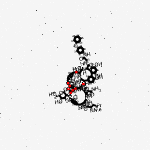 CN[C@H](CC(C)C)C(=O)N[C@H]1C(=O)N[C@@H](CC(N)=O)C(=O)NC2C(=O)N[C@H]3C(=O)N[C@H](C(=O)NC(C(=O)NCC(=O)Nc4ccc(Oc5ccccc5)cc4)c4cc(O)cc(O)c4-c4cc3ccc4O)[C@H](O)c3ccc(c(Cl)c3)Oc3cc2cc(c3O[C@@H]2O[C@H](CO)[C@@H](O)[C@H](O)[C@H]2OC2C[C@](C)(N)[C@H](O)[C@H](C)O2)Oc2ccc(cc2Cl)[C@H]1O